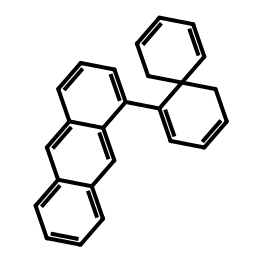 C1=CCC2(C=C1)CC=CC=C2c1cccc2cc3ccccc3cc12